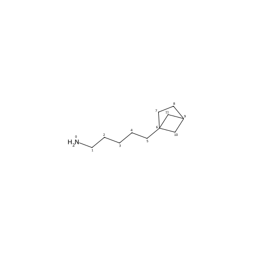 NCCCCCC12CCC(C1)C2